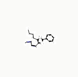 C/C=C\C=C/c1oc(-c2ccccc2)nc1CCCC